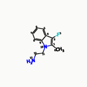 Cc1c(F)c2ccccc2n1CCN